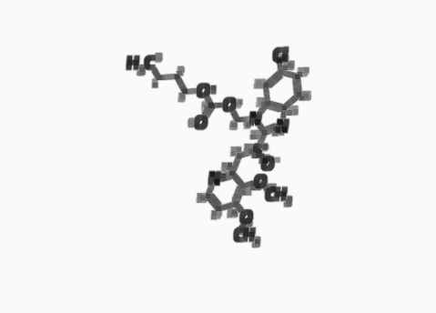 CCCCOC(=O)OCn1c([S+]([O-])Cc2nccc(OC)c2OC)nc2ccc(Cl)cc21